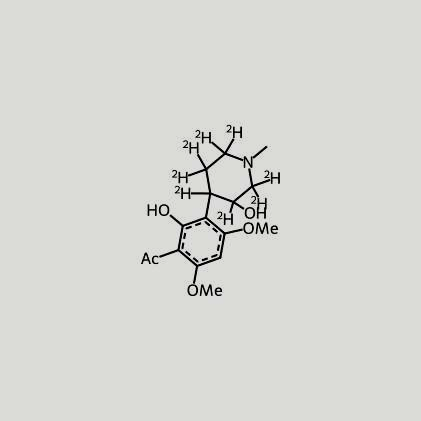 [2H]C1([2H])N(C)C([2H])([2H])C([2H])(O)C([2H])(c2c(OC)cc(OC)c(C(C)=O)c2O)C1([2H])[2H]